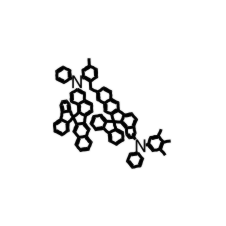 Cc1ccc(Cc2ccc3cc4c(cc3c2)C2(c3ccccc3-c3ccccc32)c2c-4ccc3cc(N(c4ccccc4)c4cc(C)c(C)c(C)c4)ccc23)c(N(c2ccccc2)c2ccc3c4c(ccc3c2)-c2cc3ccccc3cc2C42c3ccccc3-c3ccccc32)c1